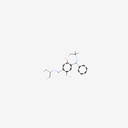 CCCCC1(CC)CS(O)(O)c2cc(CNC(CC(=O)O)CC(=O)O)c(OC)cc2C(c2ccccc2)N1